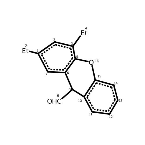 CCc1cc(CC)c2c(c1)C(C=O)c1ccccc1O2